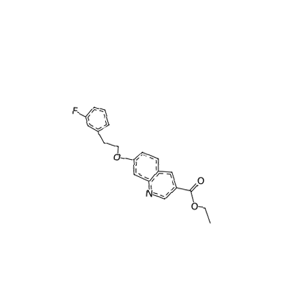 CCOC(=O)c1cnc2cc(OCCc3cccc(F)c3)ccc2c1